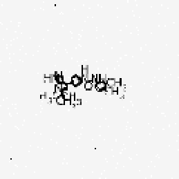 Cc1ccc(NC(=O)Nc2ccc(-c3cc(C(C)(C)C)nc4[nH]ncc34)cc2)cc1C